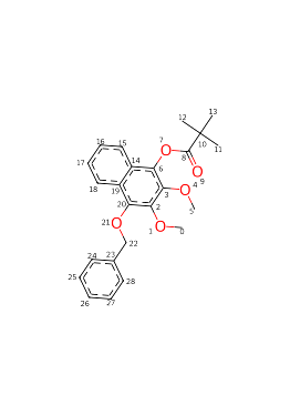 COc1c(OC)c(OC(=O)C(C)(C)C)c2ccccc2c1OCc1ccccc1